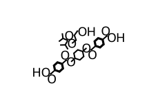 CC(C)C1(C(C)C)OCC(CO)O1.O=C(O)c1ccc(C(=O)OC2CCC(OC(=O)c3ccc(C(=O)O)cc3)CC2)cc1